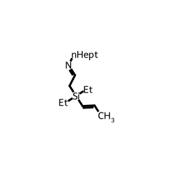 CC=C[Si](CC)(CC)CC=NCCCCCCC